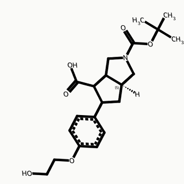 CC(C)(C)OC(=O)N1CC2C(C(=O)O)C(c3ccc(OCCO)cc3)C[C@@H]2C1